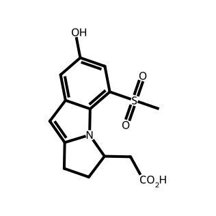 CS(=O)(=O)c1cc(O)cc2cc3n(c12)C(CC(=O)O)CC3